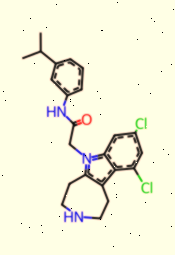 CC(C)c1cccc(NC(=O)Cn2c3c(c4c(Cl)cc(Cl)cc42)CCNCC3)c1